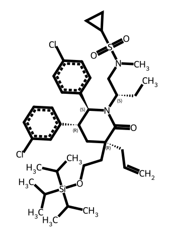 C=CC[C@]1(CCO[Si](C(C)C)(C(C)C)C(C)C)C[C@H](c2cccc(Cl)c2)[C@@H](c2ccc(Cl)cc2)N([C@@H](CC)CN(C)S(=O)(=O)C2CC2)C1=O